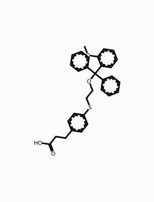 COc1ccccc1C(OCCSc1ccc(CCC(=O)O)cc1)(c1ccccc1)c1ccccc1